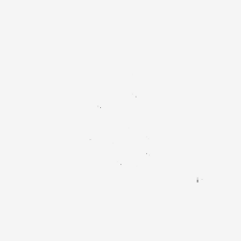 CCOC(=O)CCCn1c(O)c(C2=NS(=O)(=O)c3ccccc3N2)c(=O)n(CCC(C)C)c1=O